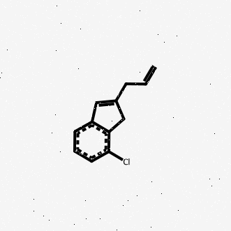 C=CCC1=Cc2cccc(Cl)c2C1